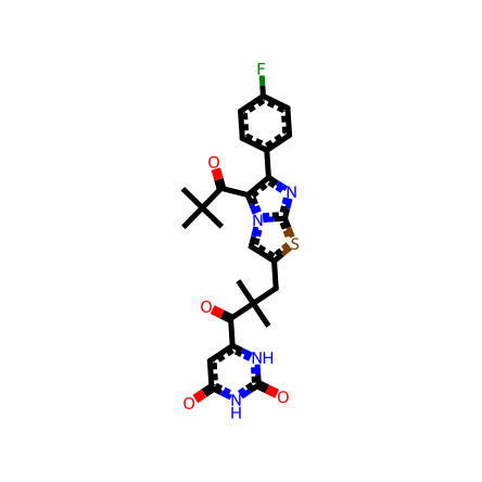 CC(C)(C)C(=O)c1c(-c2ccc(F)cc2)nc2sc(CC(C)(C)C(=O)c3cc(=O)[nH]c(=O)[nH]3)cn12